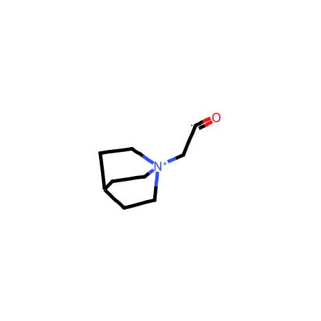 O=[C]C[N+]12CCC(CC1)CC2